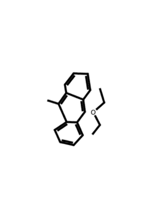 CCOCC.Cc1c2ccccc2cc2ccccc12